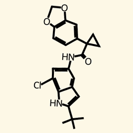 CC(C)(C)c1cc2cc(NC(=O)C3(c4ccc5c(c4)OCO5)CC3)cc(Cl)c2[nH]1